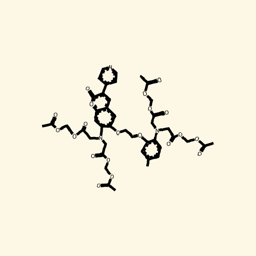 CC(=O)OCOC(=O)CN(CC(=O)OCOC(C)=O)c1ccc(C)cc1OCCOc1cc2cc(-c3ccncc3)c(=O)oc2cc1N(CC(=O)OCOC(C)=O)CC(=O)OCOC(C)=O